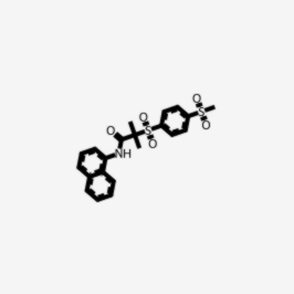 CC(C)(C(=O)Nc1cccc2ccccc12)S(=O)(=O)c1ccc(S(C)(=O)=O)cc1